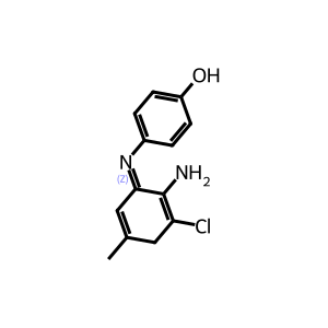 CC1=C/C(=N/c2ccc(O)cc2)C(N)=C(Cl)C1